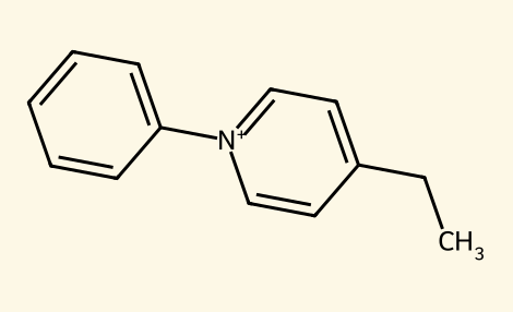 CCc1cc[n+](-c2ccccc2)cc1